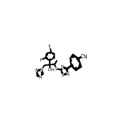 CC(Sc1nc(-c2ccc(C#N)cc2)ns1)C(O)(Cn1cncn1)c1ccc(F)cc1F